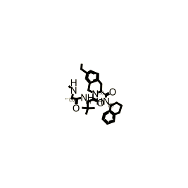 CCc1ccc2c(c1)CN(C(=O)[C@@H](NC(=O)[C@H](C)NC)C(C)(C)C)[C@H](C(=O)N[C@@H]1CCCc3ccccc31)C2